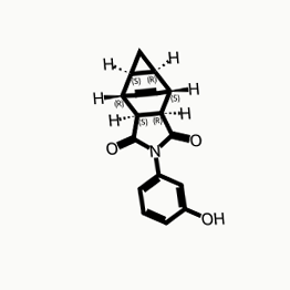 O=C1[C@@H]2[C@@H]3C=C[C@@H]([C@H]4C[C@@H]34)[C@@H]2C(=O)N1c1cccc(O)c1